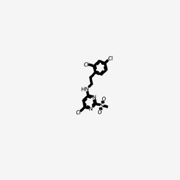 CS(=O)(=O)c1nc(Cl)cc(NCCc2ccc(Cl)cc2Cl)n1